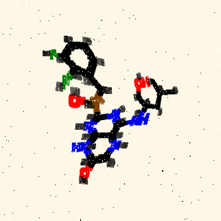 CC(C)C[C@H](CO)Nc1nc([S@@+]([O-])Cc2cccc(F)c2F)nc2[nH]c(=O)cnc12